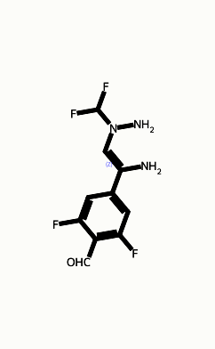 N/C(=C\N(N)C(F)F)c1cc(F)c(C=O)c(F)c1